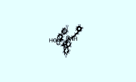 CN1CCN(C2CCN(C(=O)NCCCCc3ccccc3)C(C)(C)C2C(C)(C)C)CC1.CN1CCN(C2CCN(C(=O)O)C(C)(C)C2)CC1